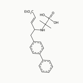 CCOC(=O)C=CC(Cc1ccc(-c2ccccc2)cc1)NC(C)(C)P(=O)(O)O